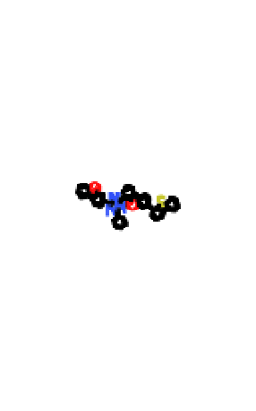 C1=CC2Oc3cc(-c4nc(-c5ccccc5)nc(-c5cccc6c5oc5cc(-c7cccc8c7sc7ccccc78)ccc56)n4)ccc3C2C=C1